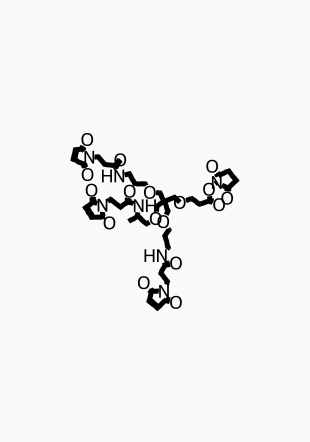 CC(COCC(COCCCNC(=O)CCN1C(=O)C=CC1=O)(COCCCNC(=O)CCN1C(=O)C=CC1=O)COCCC(=O)ON1C(=O)CCC1=O)NC(=O)CCN1C(=O)C=CC1=O